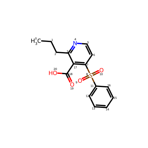 CCCc1nccc(S(=O)(=O)c2ccccc2)c1C(=O)O